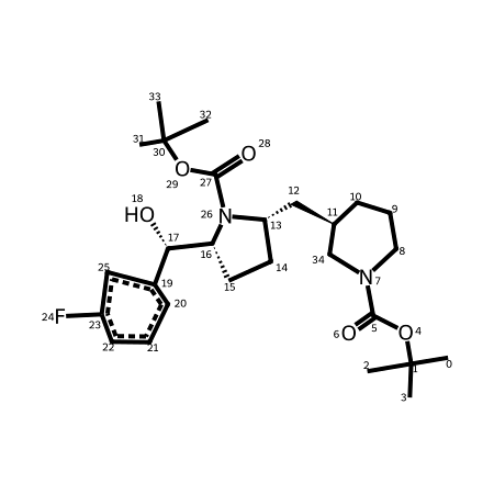 CC(C)(C)OC(=O)N1CCC[C@H](C[C@@H]2CC[C@H]([C@@H](O)c3cccc(F)c3)N2C(=O)OC(C)(C)C)C1